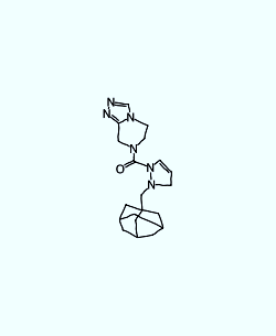 O=C(N1CCn2cnnc2C1)N1C=CCN1CC12CC3CC(CC(C3)C1)C2